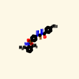 Cc1cccc(C)c1NS(=O)(=O)c1ccc(NC(=S)NC(=O)c2ccc(C(C)(C)C)cc2)cc1